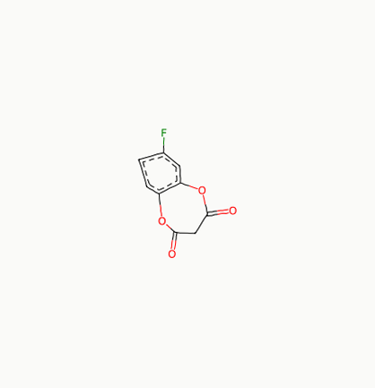 O=C1CC(=O)Oc2cc(F)ccc2O1